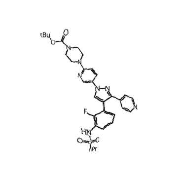 CCCS(=O)(=O)Nc1cccc(-c2cn(-c3ccc(N4CCN(C(=O)OC(C)(C)C)CC4)nc3)nc2-c2ccncc2)c1F